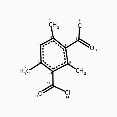 Cc1cc(C)c(C(=O)Cl)c(C)c1C(=O)Cl